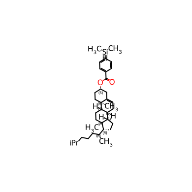 CC(C)CCC[C@@H](C)[C@H]1CC[C@H]2[C@@H]3CC=C4C[C@@H](OC(=O)c5ccc([SiH](C)C)cc5)CC[C@]4(C)[C@H]3CC[C@]12C